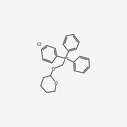 [Cl-].c1ccc([P+](COC2CCCCO2)(c2ccccc2)c2ccccc2)cc1